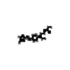 CCC(=O)OCCN(CC)c1ccc(/N=N/c2n[n+](C)cs2)cc1